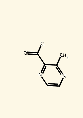 Cc1nccnc1C(=O)Cl